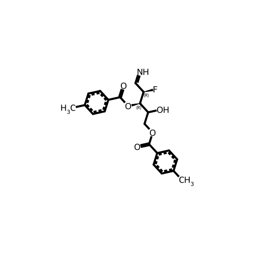 Cc1ccc(C(=O)OCC(O)[C@@H](OC(=O)c2ccc(C)cc2)[C@H](F)C=N)cc1